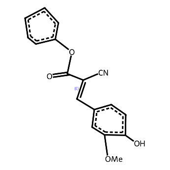 COc1cc(/C=C(\C#N)C(=O)Oc2ccccc2)ccc1O